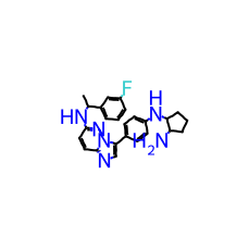 CC(Nc1ccc2ncc(-c3ccc(NC4CCCC4N)cc3)n2n1)c1cccc(F)c1